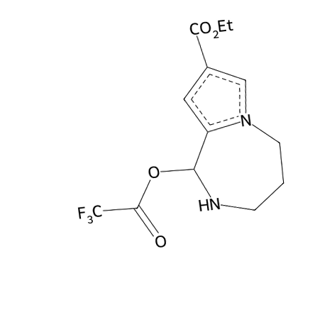 CCOC(=O)c1cc2n(c1)CCCNC2OC(=O)C(F)(F)F